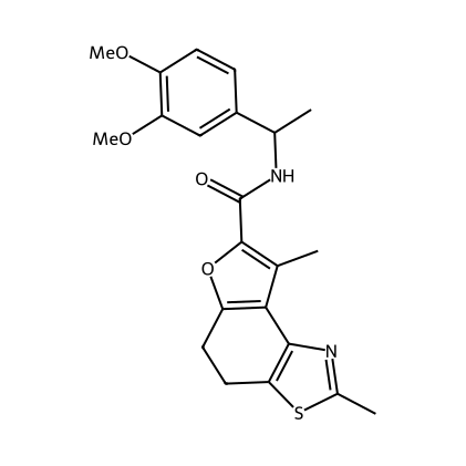 COc1ccc(C(C)NC(=O)c2oc3c(c2C)-c2nc(C)sc2CC3)cc1OC